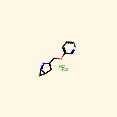 Cl.Cl.c1cncc(OCC2CC3CC3=N2)c1